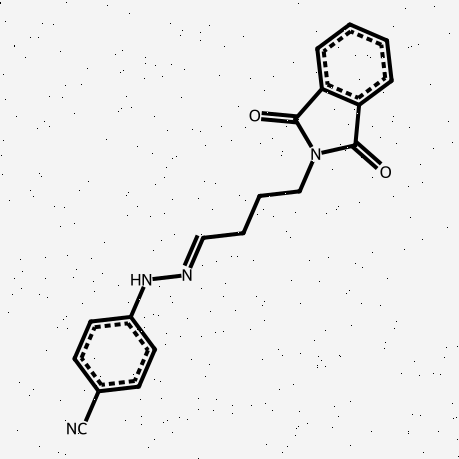 N#Cc1ccc(NN=CCCCN2C(=O)c3ccccc3C2=O)cc1